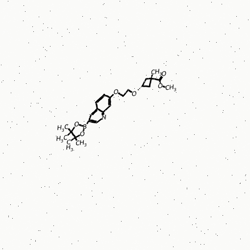 COC(=O)[C@]1(C)C[C@H](OCCOc2ccc3cc(B4OC(C)(C)C(C)(C)O4)cnc3c2)C1